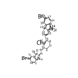 CN1/C(=C/C=C2\CCCC(/C=C/C3=[N+](C)c4ccc(Br)cc4C3(C)C)=C2Cl)C(C)(C)c2cc(Br)ccc21